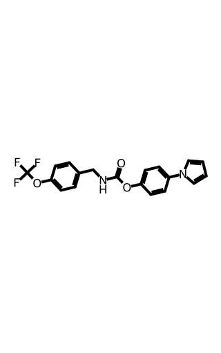 O=C(NCc1ccc(OC(F)(F)F)cc1)Oc1ccc(-n2cccc2)cc1